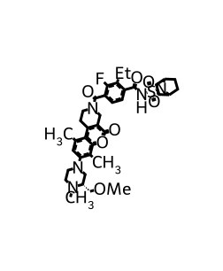 CCc1c(C(=O)NS(=O)(=O)N2C3CCC2CC3)ccc(C(=O)N2CCc3c(c(=O)oc4c(C)c(N5CCN(C)[C@@H](COC)C5)cc(C)c34)C2)c1F